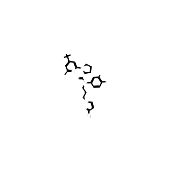 Cc1cc(C(F)(F)F)cc(N2CCC[C@H]2C(=O)N(CCCn2ccc(N)n2)c2ccc(F)c(Cl)c2)n1